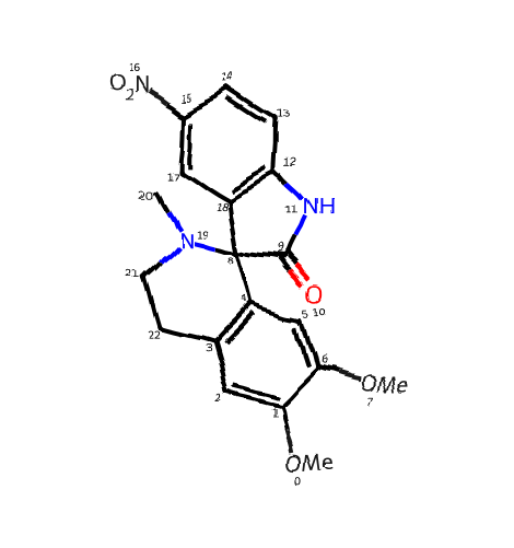 COc1cc2c(cc1OC)C1(C(=O)Nc3ccc([N+](=O)[O-])cc31)N(C)CC2